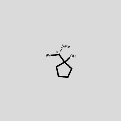 CN[C@@H](C(C)C)C1(O)CCCC1